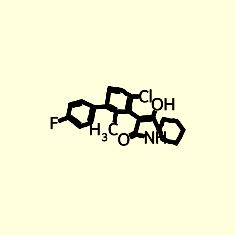 Cc1c(-c2ccc(F)cc2)ccc(Cl)c1C1=C(O)C2(CCCCC2)NC1=O